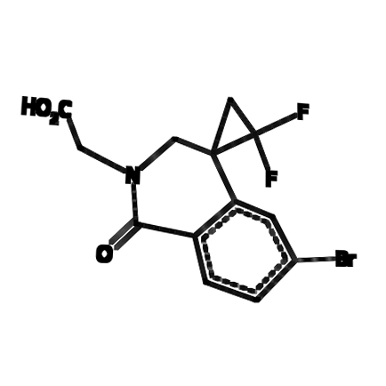 O=C(O)CN1CC2(CC2(F)F)c2cc(Br)ccc2C1=O